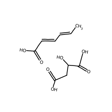 C/C=C/C=C/C(=O)O.O=C(O)CC(O)C(=O)O